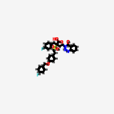 O=C(O)C(CCn1nnc2ccccc2c1=O)(Cc1ccc(F)cc1)S(=O)(=O)CCc1ccc(OCc2ccc(F)cc2)cc1